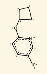 CC(C)c1ccc(OC2CCC2)nc1